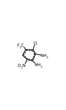 Nc1c([N+](=O)[O-])cc(C(F)(F)F)c(Cl)c1N